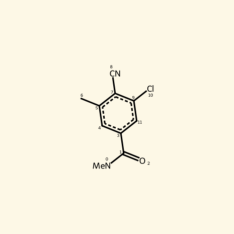 CNC(=O)c1cc(C)c(C#N)c(Cl)c1